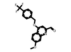 COc1ccc2c(OCc3ccc(C(F)(F)F)cc3)cc(C=O)nc2c1